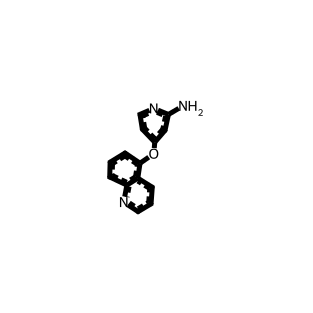 Nc1cc(Oc2cccc3ncccc23)ccn1